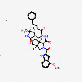 COc1cccc2[nH]c(C(=O)N3C[C@@H]4CCC[C@@H]4[C@H]3C(=O)NC(C[C@@H]3CC(C)(C)NC3=O)C(=O)CCCc3ccccc3)cc12